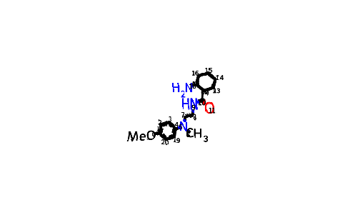 COc1ccc(N(C)CCNC(=O)[C@@H]2CCCC[C@@H]2N)cc1